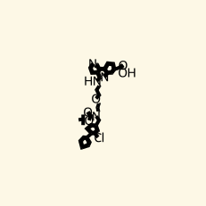 CC(C)(C)OC(=O)N(CCCOCCCNc1nc2cc(C(=O)O)ccc2c2cnccc12)Cc1ccc(-c2ccccc2)c(Cl)c1